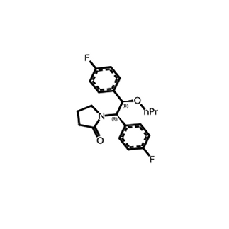 CCCO[C@H](c1ccc(F)cc1)[C@@H](c1ccc(F)cc1)N1CCCC1=O